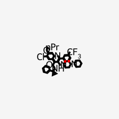 CCCOc1cc2nc(-c3cccc(C(F)(F)F)c3)c(CN3CCC(N4CCCCC4)CC3)c(C(=O)NC3(c4ccccc4)CC3)c2cc1Cl